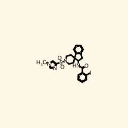 Cn1cnc(S(=O)(=O)N2CCC3(CC2)c2ccccc2CC3NC(=O)c2ccccc2I)c1